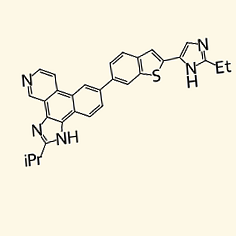 CCc1ncc(-c2cc3ccc(-c4ccc5c(c4)c4ccncc4c4nc(C(C)C)[nH]c54)cc3s2)[nH]1